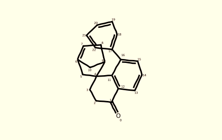 O=C1CCC2(CC3=CCC2C3)c2c1cccc2-c1ccccc1